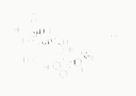 CCCCCCCC(=O)O.CCCCCCCC(=O)O.CCCCCCCC(=O)O.O=C(O)c1ccccc1.O=C(O)c1ccccc1.O=C(O)c1ccccc1.OCC(CO)(CO)CO.OCC(CO)(CO)CO